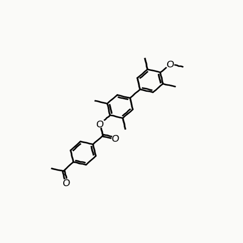 COc1c(C)cc(-c2cc(C)c(OC(=O)c3ccc(C(C)=O)cc3)c(C)c2)cc1C